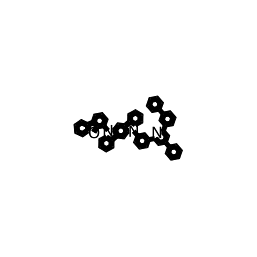 c1ccc(-c2cccc(-c3cc(-c4ccccc4)cc(-c4cccc(-n5c6ccccc6c6cc7c(cc65)c5ccccc5n7-c5cccc6c5oc5ccccc56)c4)n3)c2)cc1